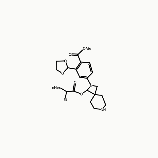 [CH2]CCCCCC(CC)C(=O)OC1N(c2ccc(C(=O)OC)c(C3OCCO3)c2)CC12CCNCC2